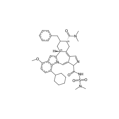 COc1ccc(C2CCCCC2)c2c1cc1n2C=C2C(=C3C[C@@H](C(=O)N(C)C)C(Cc4ccccc4)C[C@H]31)C=NC2C(=O)NS(=O)(=O)N(C)C